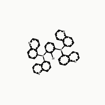 Brc1c(N(c2cccc3ncccc23)c2cccc3ncccc23)cccc1N(c1cccc2ncccc12)c1cccc2ncccc12